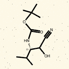 CC(C)[C@H](NC(=O)OC(C)(C)C)C(O)C#N